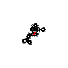 C1=CC(C2=NC(c3ccccc3)NC(c3cccc4sc5ccc(-c6cccc7c6oc6ccc(-n8c9c(c%10ccccc%108)C=CCC9)cc67)cc5c34)=N2)=CCC1